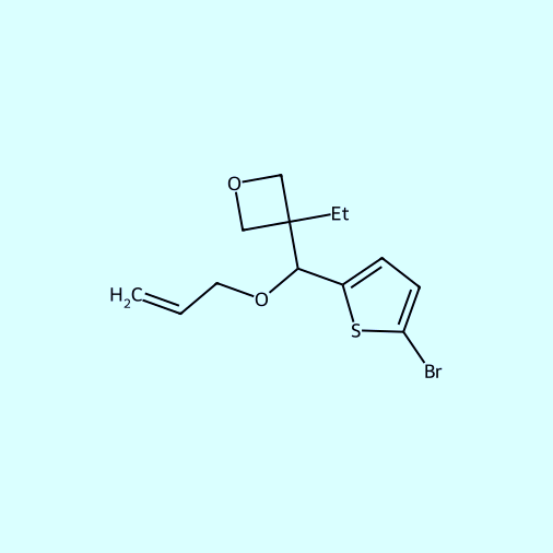 C=CCOC(c1ccc(Br)s1)C1(CC)COC1